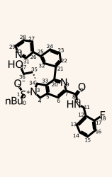 CCCC[S+]([O-])N1Cc2cc(C(=O)NCc3ccccc3F)nc(-c3cccc(-c4cccnc4)c3)c2[C@H]1CCO